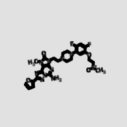 Cn1c(=O)n(CCN2CCN(c3cc(OCC[S+](C)[O-])c(F)cc3F)CC2)c2nc(N)n3nc(-c4ccco4)nc3c21